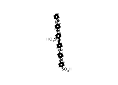 O=S(=O)(O)c1ccc(N=Nc2ccc(N=Nc3ccc(C=Cc4ccc(N=Nc5ccc(N=Nc6ccccc6)cc5)cc4S(=O)(=O)O)cc3)cc2)cc1